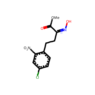 COC(=O)/C(CCc1ccc(Cl)cc1[N+](=O)[O-])=N\O